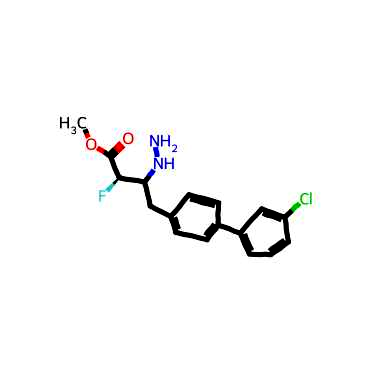 COC(=O)[C@H](F)C(Cc1ccc(-c2cccc(Cl)c2)cc1)NN